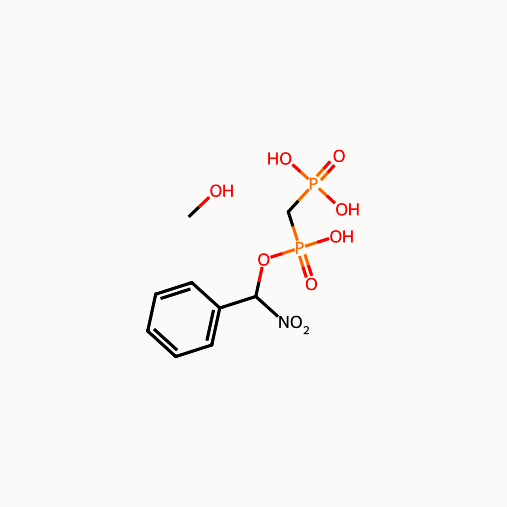 CO.O=[N+]([O-])C(OP(=O)(O)CP(=O)(O)O)c1ccccc1